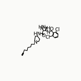 C#CCCCCCCN1CCC(NC(=O)c2n[nH]cc2NC(=O)c2c(Cl)cccc2Cl)CC1